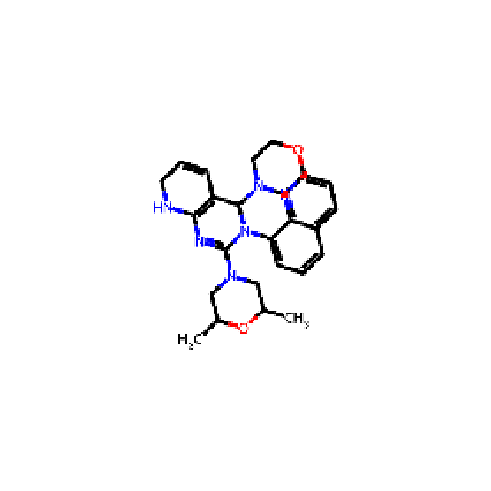 CC1CN(C2=NC3=C(C=CCN3)C(N3CCOCC3)N2c2cccc3cccnc23)CC(C)O1